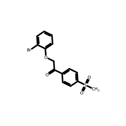 CS(=O)(=O)c1ccc(C(=O)COc2ccccc2Br)cc1